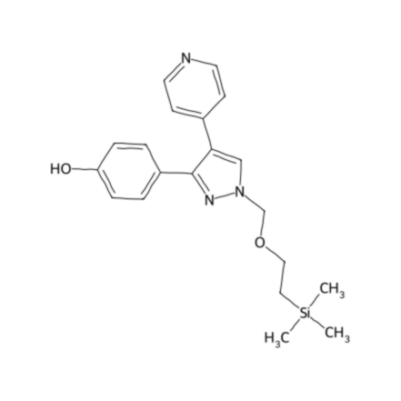 C[Si](C)(C)CCOCn1cc(-c2ccncc2)c(-c2ccc(O)cc2)n1